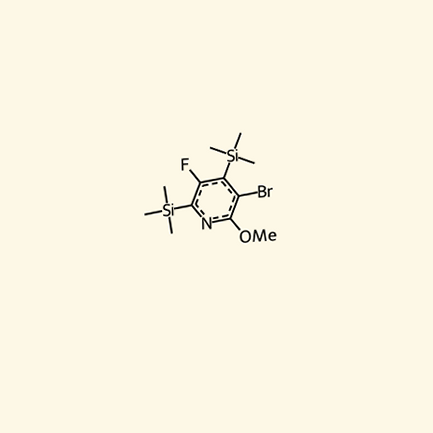 COc1nc([Si](C)(C)C)c(F)c([Si](C)(C)C)c1Br